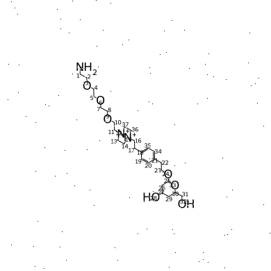 NCCOCCOCCOCC[N+]12CC[N+]1(CCc1ccc(CCOC3CC(O)CC(CO)O3)cc1)CC2